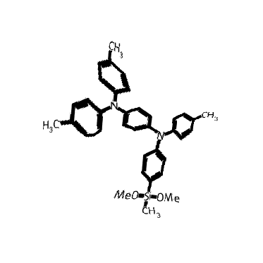 CO[Si](C)(OC)c1ccc(N(c2ccc(C)cc2)c2ccc(N(c3ccc(C)cc3)c3ccc(C)cc3)cc2)cc1